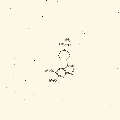 COc1cc2ncnc(C3CCCN(S(N)(=O)=O)CC3)c2cc1OC